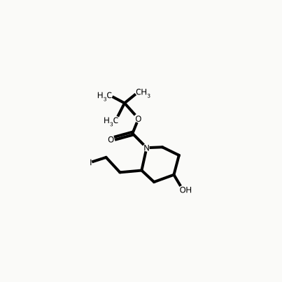 CC(C)(C)OC(=O)N1CCC(O)CC1CCI